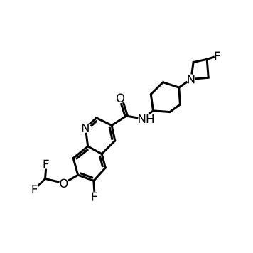 O=C(NC1CCC(N2CC(F)C2)CC1)c1cnc2cc(OC(F)F)c(F)cc2c1